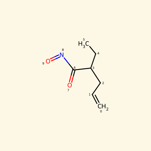 C=CCC(CC)C(=O)N=O